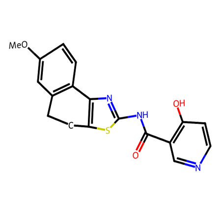 COc1ccc2c(c1)CCc1sc(NC(=O)c3cnccc3O)nc1-2